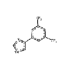 FC(F)(F)c1cc(-c2c[nH]cn2)cc(C(F)(F)F)c1